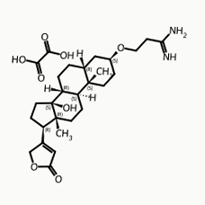 C[C@]12CC[C@H](OCCC(=N)N)C[C@H]1CC[C@@H]1[C@@H]2CC[C@]2(C)[C@@H](C3=CC(=O)OC3)CC[C@]12O.O=C(O)C(=O)O